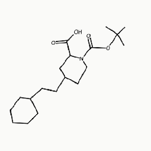 CC(C)(C)OC(=O)N1CCC(CCC2CCCCC2)CC1C(=O)O